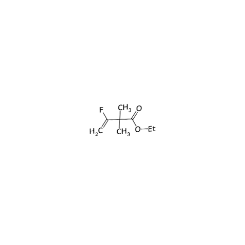 C=C(F)C(C)(C)C(=O)OCC